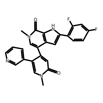 Cn1cc(-c2cccnc2)c(-c2cn(C)c(=O)c3[nH]c(-c4ccc(F)cc4F)cc23)cc1=O